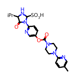 Cc1ccc(N2CCN(C(=O)Oc3ccc(N4C(=O)C(C(C)C)NC4S(=O)(=O)O)nc3)CC2)nc1